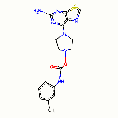 Cc1cccc(NC(=O)ON2CCN(c3nc(N)nc4scnc34)CC2)c1